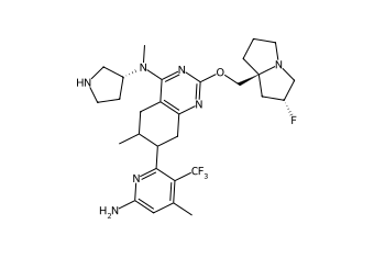 Cc1cc(N)nc(C2Cc3nc(OC[C@@]45CCCN4C[C@H](F)C5)nc(N(C)[C@@H]4CCNC4)c3CC2C)c1C(F)(F)F